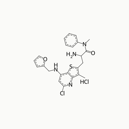 Cc1c(CC(N)C(=O)N(C)c2ccccc2)sc2c(NCc3ccco3)cc(Cl)nc12.Cl